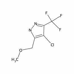 COCC1=C(Cl)C(C(F)(F)F)=N[N]1